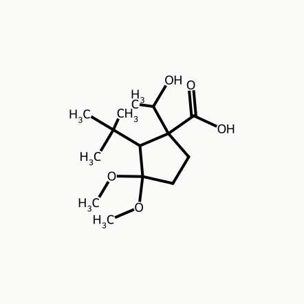 COC1(OC)CCC(C(=O)O)(C(C)O)C1C(C)(C)C